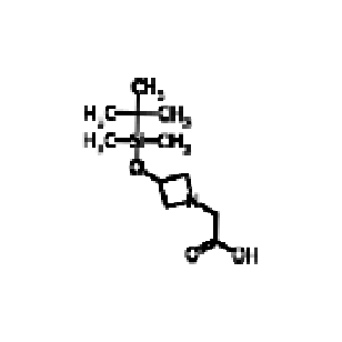 CC(C)(C)[Si](C)(C)OC1CN(CC(=O)O)C1